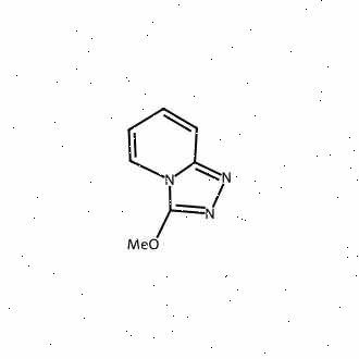 COc1nnc2ccccn12